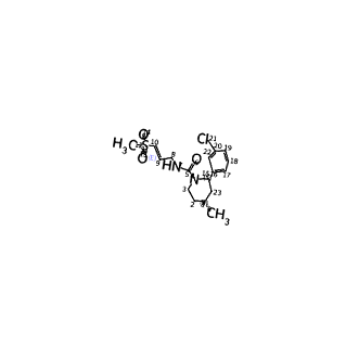 C[C@@H]1CCN(C(=O)NC/C=C/S(C)(=O)=O)[C@H](c2cccc(Cl)c2)C1